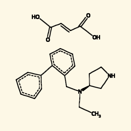 CCN(Cc1ccccc1-c1ccccc1)[C@H]1CCNC1.O=C(O)/C=C/C(=O)O